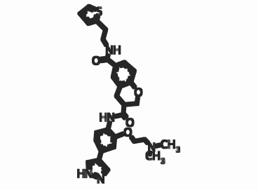 CN(C)CCOc1cc(-c2cn[nH]c2)ccc1NC(=O)C1COc2ccc(C(=O)NCCc3cccs3)cc2C1